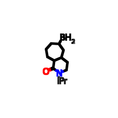 BC1CCCC2C(=O)N(C(C)C)CCC2C1